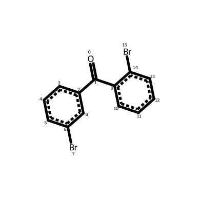 O=C(c1cccc(Br)c1)c1ccccc1Br